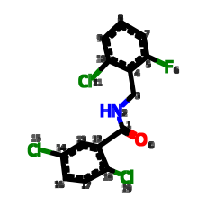 O=C(NCc1c(F)cccc1Cl)c1cc(Cl)ccc1Cl